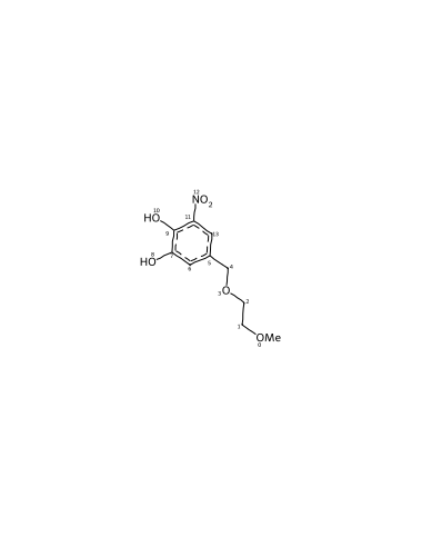 COCCOCc1cc(O)c(O)c([N+](=O)[O-])c1